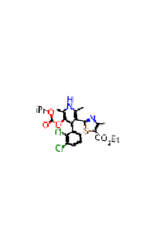 CCOC(=O)c1sc(C2=C(C)NC(C)=C(OC(=O)OC(C)C)C2c2cccc(Cl)c2Cl)nc1C